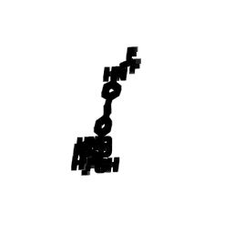 C[C@@H](N)[C@H](NC(=O)c1ccc(C#Cc2ccc(CNCC(F)F)cc2)cc1)C(=O)NO